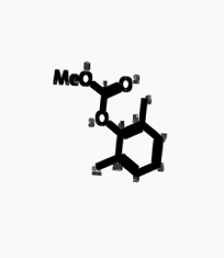 [CH2]OC(=O)Oc1c(C)cccc1C